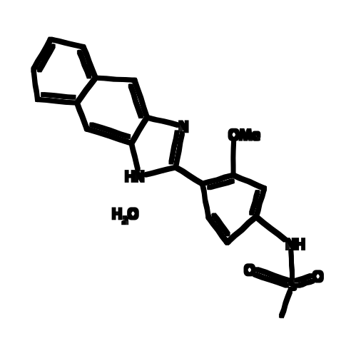 COc1cc(NS(C)(=O)=O)ccc1-c1nc2cc3ccccc3cc2[nH]1.O